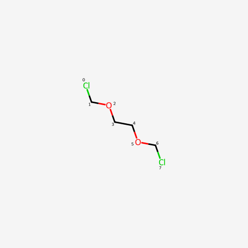 ClCOCCOCCl